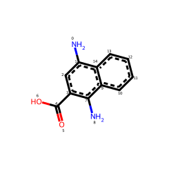 Nc1cc(C(=O)O)c(N)c2ccccc12